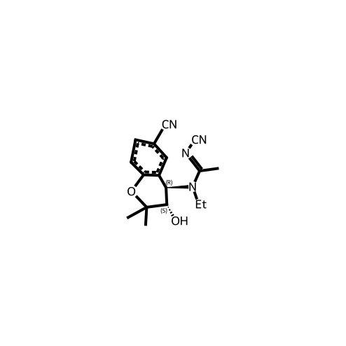 CCN(C(C)=NC#N)[C@@H]1c2cc(C#N)ccc2OC(C)(C)[C@H]1O